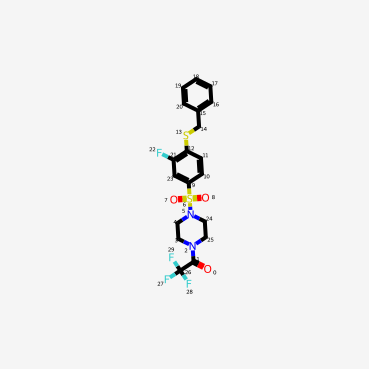 O=C(N1CCN(S(=O)(=O)c2ccc(SCc3ccccc3)c(F)c2)CC1)C(F)(F)F